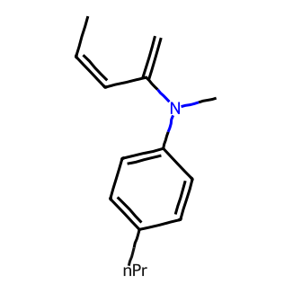 C=C(/C=C\C)N(C)c1ccc(CCC)cc1